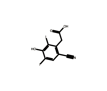 N#Cc1cc(I)c(O)c(I)c1CC(=O)O